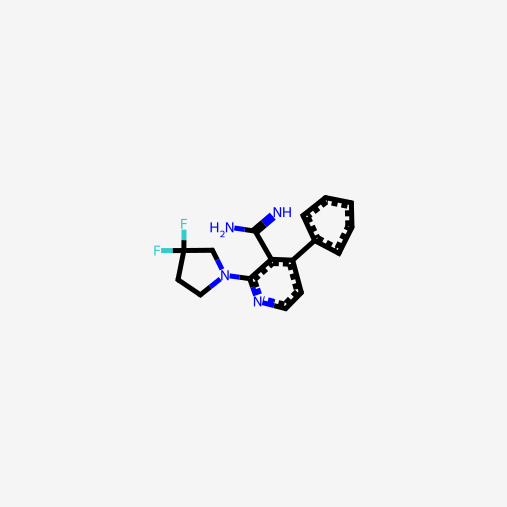 N=C(N)c1c(-c2ccccc2)ccnc1N1CCC(F)(F)C1